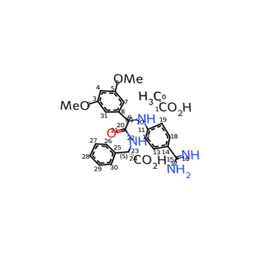 CC(=O)O.COc1cc(OC)cc([C@@H](Nc2ccc(C(=N)N)cc2)C(=O)N[C@H](C(=O)O)c2ccccc2)c1